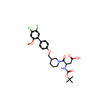 COc1cc(F)c(F)cc1-c1ccc(OCC2CCCN(C(=O)C(CC(=O)O)NC(=O)OC(C)(C)C)C2)cc1